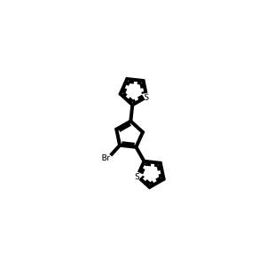 BrC1=C(c2cccs2)CC(c2cccs2)=C1